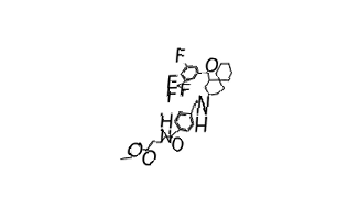 CCOC(=O)CCNC(=O)c1ccc(CNC2CCC3(CCCCC3)C(C(=O)c3cc(F)cc(C(F)(F)F)c3)C2)cc1